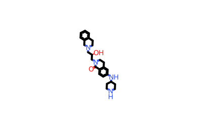 O=C1c2ccc(NC3CCNCC3)cc2CCN1C[C@H](O)CN1CCc2ccccc2C1